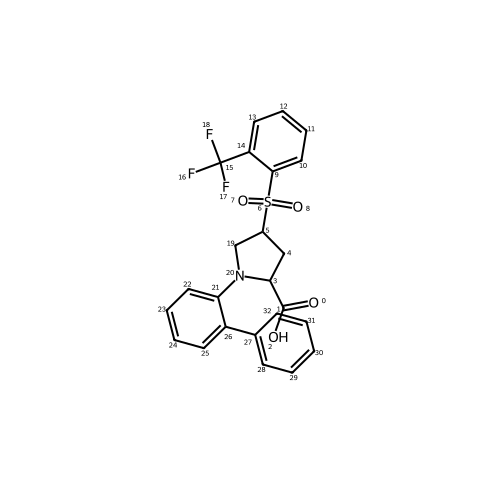 O=C(O)C1CC(S(=O)(=O)c2ccccc2C(F)(F)F)CN1c1ccccc1-c1ccccc1